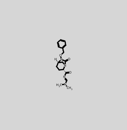 CN(C)C=NC(=O)[C@@H]1CC[C@@H]2CN1C(=O)N2OCc1ccccc1